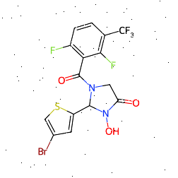 O=C1CN(C(=O)c2c(F)ccc(C(F)(F)F)c2F)C(c2cc(Br)cs2)N1O